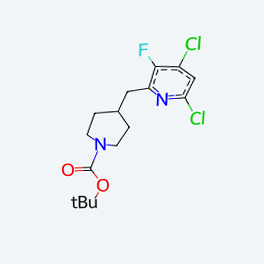 CC(C)(C)OC(=O)N1CCC(Cc2nc(Cl)cc(Cl)c2F)CC1